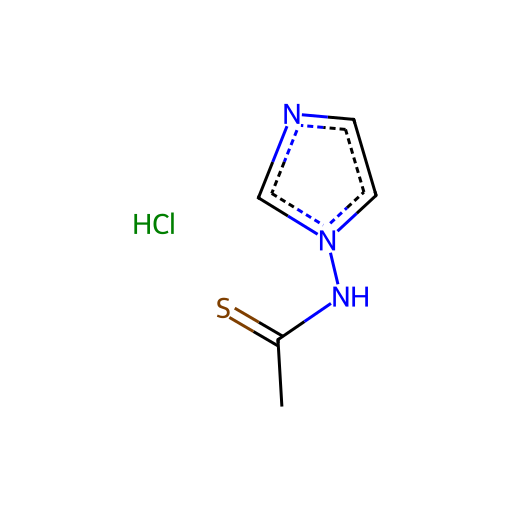 CC(=S)Nn1ccnc1.Cl